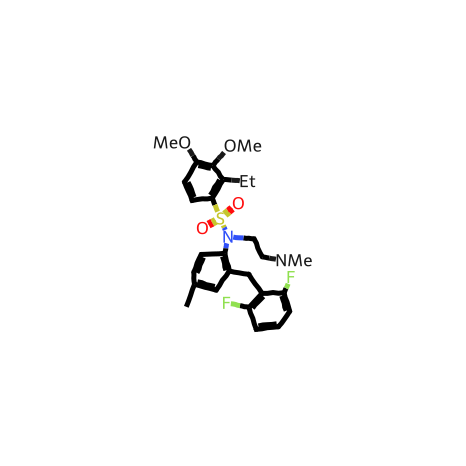 CCc1c(S(=O)(=O)N(CCNC)c2ccc(C)cc2Cc2c(F)cccc2F)ccc(OC)c1OC